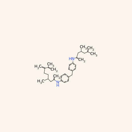 C=C(C)CC(C)CC(=C)Nc1ccc(Cc2ccc(NC(=C)CC(C)CCC(=C)C(=C)C)cc2)cc1